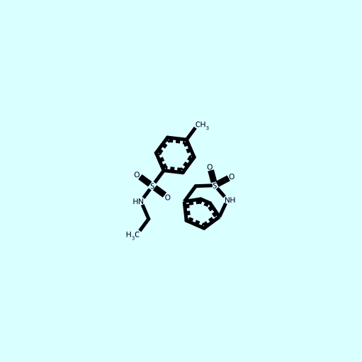 CCNS(=O)(=O)c1ccc(C)cc1.O=S1(=O)Cc2ccc(cc2)N1